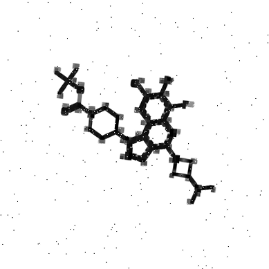 CN(C)C1CN(c2nc3c(F)c(Br)c(Cl)cc3c3c2cnn3C2CCN(C(=O)OC(C)(C)C)CC2)C1